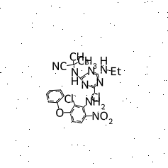 CCNc1nc(Cl)nc(NC(C)(C)C#N)n1.Nc1c([N+](=O)[O-])ccc(Oc2ccccc2)c1Cl